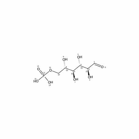 O=C[C@@H](O)[C@@H](O)[C@@H](O)[C@@H](O)COP(=O)(O)O